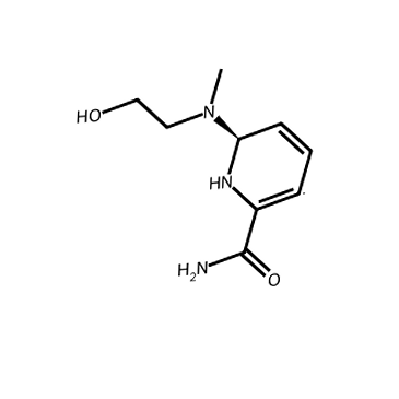 CN(CCO)[C@H]1C=C[C]=C(C(N)=O)N1